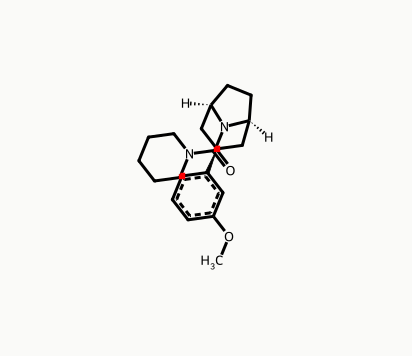 COc1cccc([C@H]2C[C@H]3CC[C@@H](C2)N3C(=O)N2CCCCC2)c1